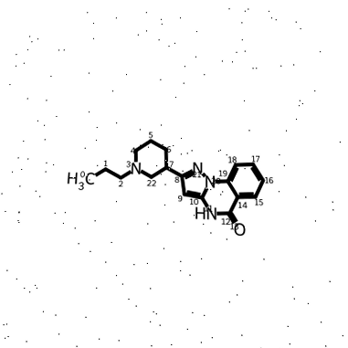 CCCN1CCCC(c2cc3[nH]c(=O)c4ccccc4n3n2)C1